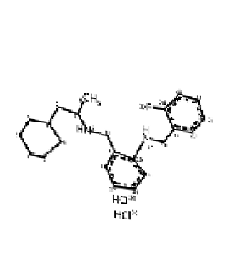 CC(CC1CCCCC1)NCc1ccccc1NCc1ccccc1F.Cl.Cl